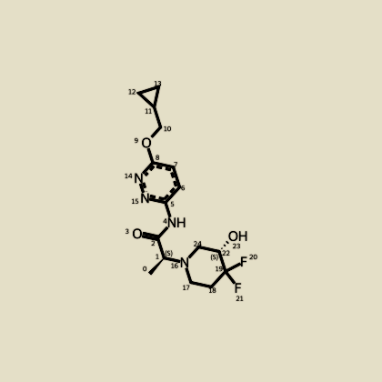 C[C@@H](C(=O)Nc1ccc(OCC2CC2)nn1)N1CCC(F)(F)[C@@H](O)C1